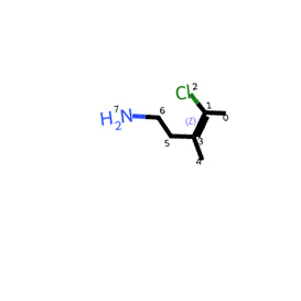 C/C(Cl)=C(\C)CCN